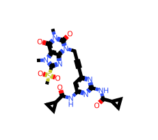 Cn1c(=O)c2c(nc(S(C)(=O)=O)n2C)n(CC#Cc2cc(NC(=O)C3CC3)nc(NC(=O)C3CC3)n2)c1=O